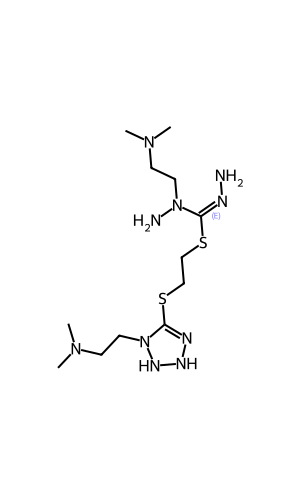 CN(C)CCN1NNN=C1SCCS/C(=N/N)N(N)CCN(C)C